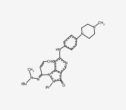 CC(C)n1c(=O)c2cnc(Nc3ccc(N4CCN(C)CC4)cc3)nc2n1C(/C=C\C=O)=N/N(C)C(C)(C)C